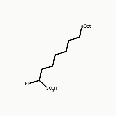 CCCCCCCCCCCCCCC(CC)S(=O)(=O)O